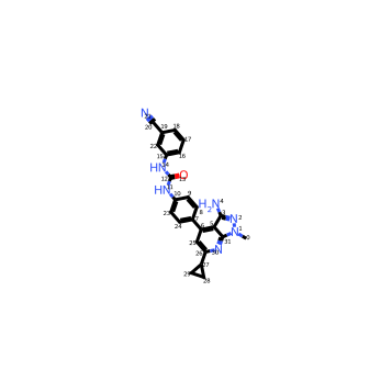 Cn1nc(N)c2c(-c3ccc(NC(=O)Nc4cccc(C#N)c4)cc3)cc(C3CC3)nc21